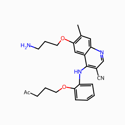 CC(=O)CCCOc1ccccc1Nc1c(C#N)cnc2cc(C)c(OCCCN)cc12